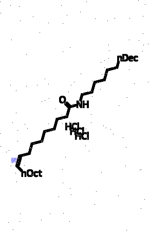 CCCCCCCC/C=C\CCCCCCCC(=O)NCCCCCCCCCCCCCCCC.Cl.Cl.Cl